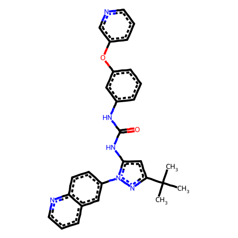 CC(C)(C)c1cc(NC(=O)Nc2cccc(Oc3cccnc3)c2)n(-c2ccc3ncccc3c2)n1